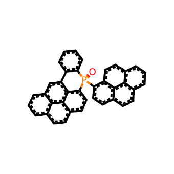 O=P1(c2ccc3ccc4cccc5ccc2c3c45)c2ccccc2-c2cc3cccc4ccc5ccc1c2c5c43